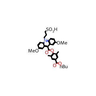 CCCCOC(=O)c1cc(C)c(OC(=O)c2c3cc(OC)ccc3[n+](CCCS(=O)(=O)O)c3ccc(OC)cc23)c(C)c1